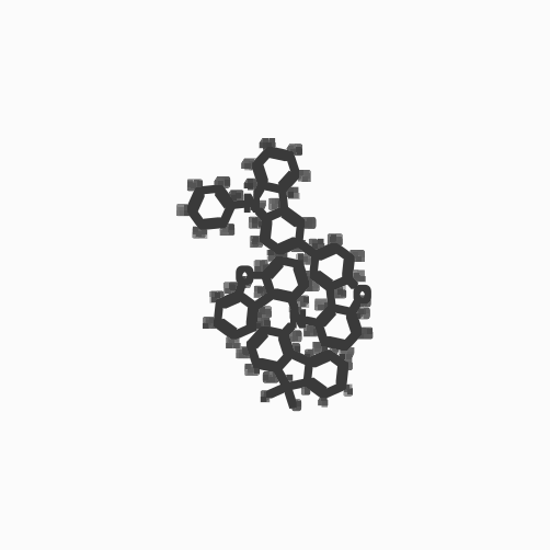 CC1(C)c2ccccc2-c2c(N(c3cccc4oc5ccccc5c34)c3cccc4oc5ccc(-c6ccc7c(c6)c6ccccc6n7-c6ccccc6)cc5c34)cccc21